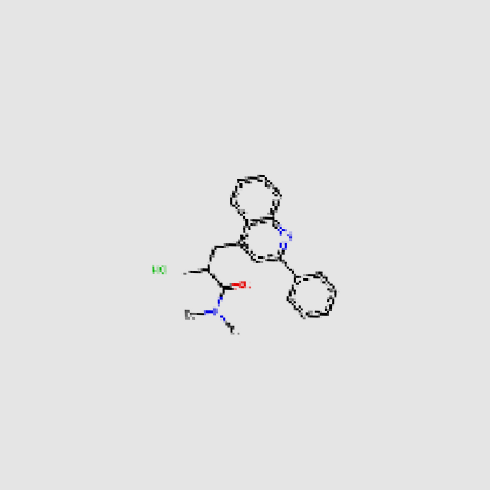 CCN(CC)C(=O)C(C)Cc1cc(-c2ccccc2)nc2ccccc12.Cl